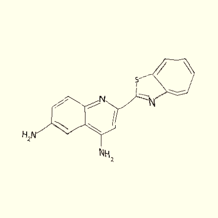 Nc1ccc2nc(-c3nc4ccccc4s3)cc(N)c2c1